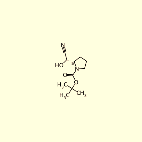 CC(C)(C)OC(=O)N1CCC[C@H]1C(O)C#N